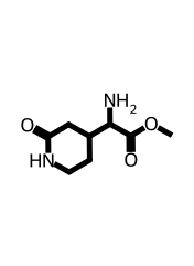 COC(=O)C(N)C1CCNC(=O)C1